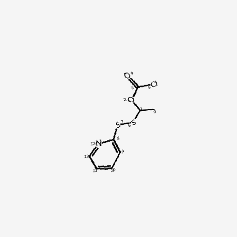 CC(OC(=O)Cl)SSc1ccccn1